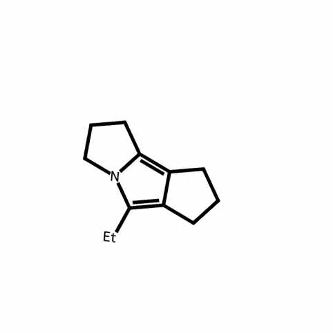 CCc1c2c(c3n1CCC3)CCC2